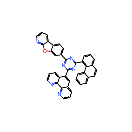 c1ccc2c(c1)ccc1cccc(-c3nc(-c4ccc5c(c4)oc4ncccc45)nc(-c4cc5cccnc5c5ncccc45)n3)c12